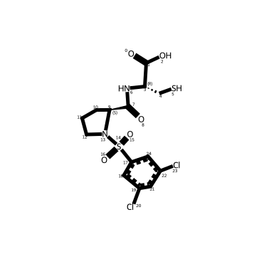 O=C(O)[C@H](CS)NC(=O)[C@@H]1CCCN1S(=O)(=O)c1cc(Cl)cc(Cl)c1